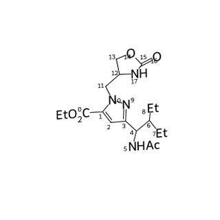 CCOC(=O)c1cc(C(NC(C)=O)C(CC)CC)nn1CC1COC(=O)N1